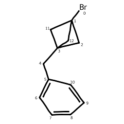 BrC12CC(Cc3ccccc3)(C1)C2